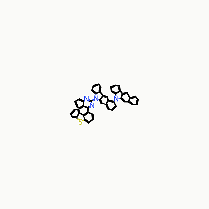 c1ccc2cc3c(cc2c1)c1ccccc1n3-c1cccc2cc3c(cc12)c1ccccc1n3-c1nc(-c2cccc3sc4ccccc4c23)c2ccccc2n1